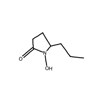 CCCC1CCC(=O)N1O